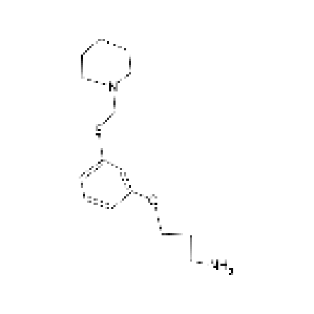 NCCCOc1cccc(SCN2CCCCC2)c1